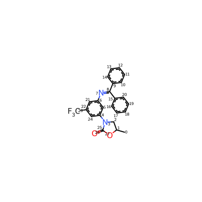 CC1CN(c2cc(N=C(c3ccccc3)c3ccccc3)cc(C(F)(F)F)c2)C(=O)O1